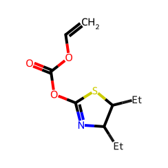 C=COC(=O)OC1=NC(CC)C(CC)S1